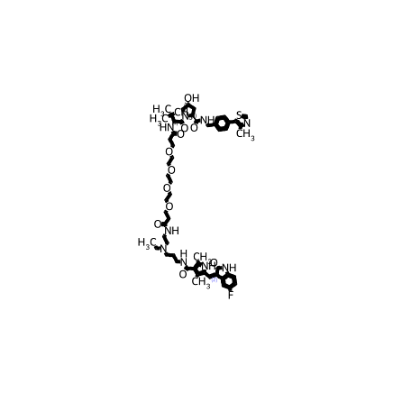 CCN(CCCNC(=O)c1c(C)[nH]c(/C=C2\C(=O)Nc3ccc(F)cc32)c1C)CCNC(=O)CCOCCOCCOCCOCCC(=O)N[C@H](C(=O)N1C[C@H](O)C[C@H]1C(=O)NCc1ccc(-c2scnc2C)cc1)C(C)(C)C